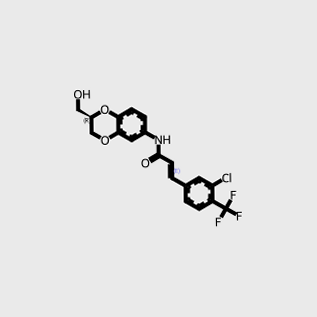 O=C(/C=C/c1ccc(C(F)(F)F)c(Cl)c1)Nc1ccc2c(c1)OC[C@@H](CO)O2